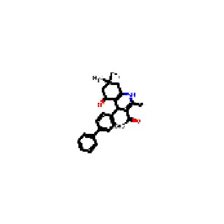 CCC1=C(C(=O)OCC(C)C)C(c2ccc(-c3ccccc3)cc2)C2=C(CC(C)(C)CC2=O)N1